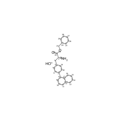 Cl.N[C@@H](Cc1ccc(-c2cccc3ccccc23)cc1)C(=O)OCc1ccccc1